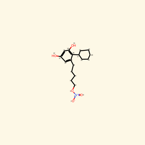 O=[N+]([O-])OCCCCCc1cc(O)cc(O)c1C1CCCCC1